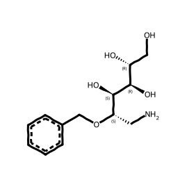 NC[C@H](OCc1ccccc1)[C@@H](O)[C@H](O)[C@H](O)CO